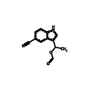 CC(OC=O)c1c[nH]c2ccc(C#N)cc12